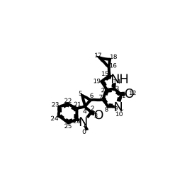 CN1C(=O)C2(CC2c2cn(C)c(=O)c3[nH]c(C4CC4)cc23)c2ccccc21